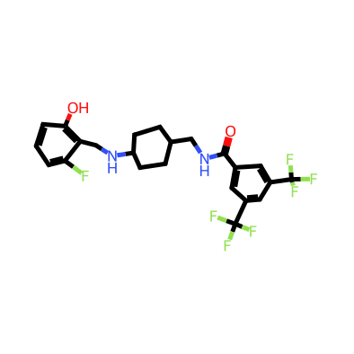 O=C(NCC1CCC(NCc2c(O)cccc2F)CC1)c1cc(C(F)(F)F)cc(C(F)(F)F)c1